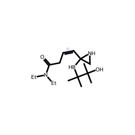 CCN(CC)C(=O)C/C=C\C1(BC(C)(C)C(C)(C)O)CN1